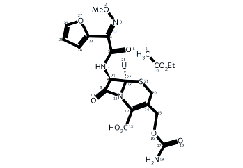 CCOC(C)=O.CO/N=C(/C(=O)N[C@@H]1C(=O)N2C(C(=O)O)=C(COC(N)=O)CS[C@H]12)c1ccco1